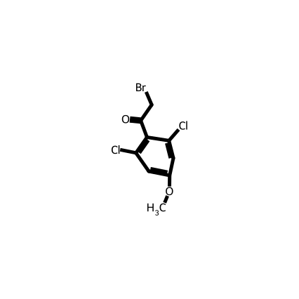 COc1cc(Cl)c(C(=O)CBr)c(Cl)c1